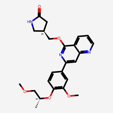 COC[C@@H](C)Oc1ccc(-c2cc3ncccc3c(OC[C@H]3CNC(=O)C3)n2)cc1OC